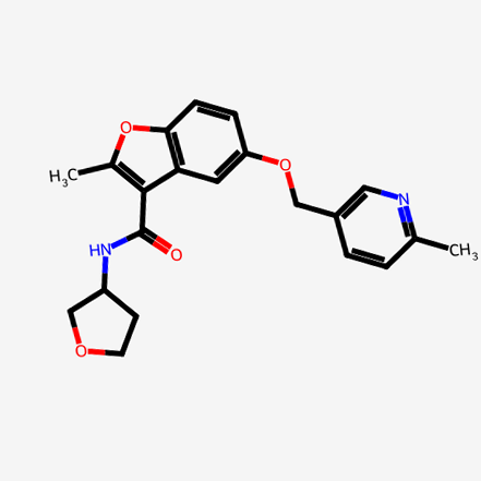 Cc1ccc(COc2ccc3oc(C)c(C(=O)NC4CCOC4)c3c2)cn1